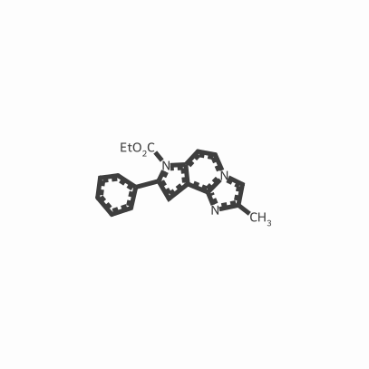 CCOC(=O)n1c(-c2ccccc2)cc2c1ccn1cc(C)nc21